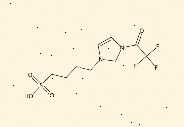 O=C(N1C=CN(CCCCS(=O)(=O)O)C1)C(F)(F)F